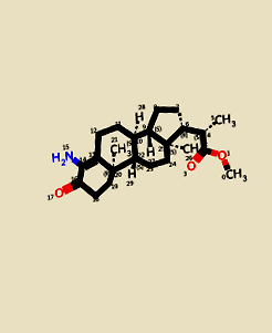 COC(=O)[C@@H](C)[C@H]1CC[C@H]2[C@@H]3CCC4=C(N)C(=O)CC[C@]4(C)[C@H]3CC[C@]12C